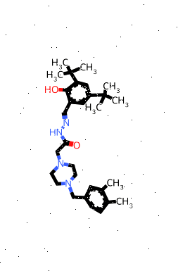 Cc1ccc(CN2CCN(CC(=O)N/N=C/c3cc(C(C)(C)C)cc(C(C)(C)C)c3O)CC2)cc1C